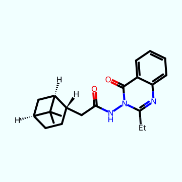 CCc1nc2ccccc2c(=O)n1NC(=O)C[C@@H]1CC[C@H]2C[C@@H]1C2(C)C